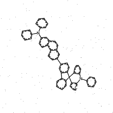 c1ccc(N(c2ccccc2)c2ccc3c(ccc4cc(-c5ccc6c(c5)-c5ccccc5C65c6ccccc6N(c6ccccc6)c6ccccc65)ccc43)c2)cc1